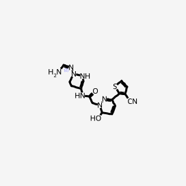 N#Cc1ccsc1C1=NN(CC(=O)NC2=CNN(/N=C\N)CC2)C(O)C=C1